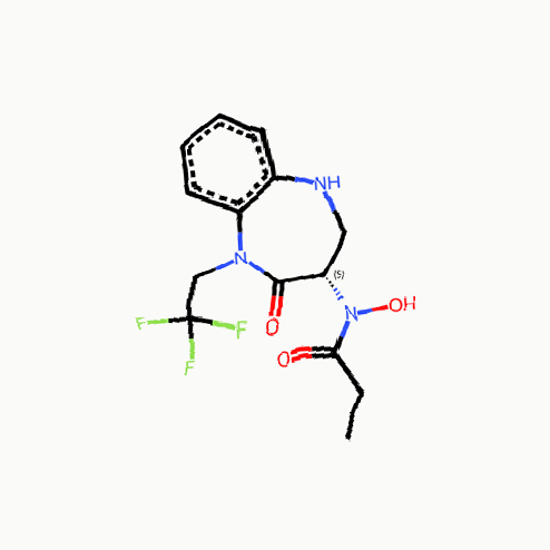 CCC(=O)N(O)[C@H]1CNc2ccccc2N(CC(F)(F)F)C1=O